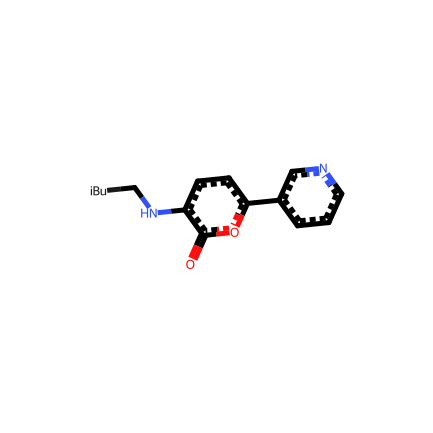 CCC(C)CNc1ccc(-c2cccnc2)oc1=O